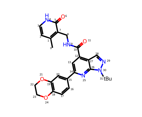 Cc1cc[nH]c(=O)c1CNC(=O)c1cc(-c2ccc3c(c2)OCCO3)nc2c1cnn2C(C)(C)C